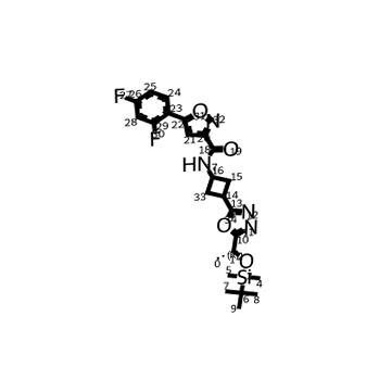 C[C@@H](O[Si](C)(C)C(C)(C)C)c1nnc(C2CC(NC(=O)c3cc(-c4ccc(F)cc4F)on3)C2)o1